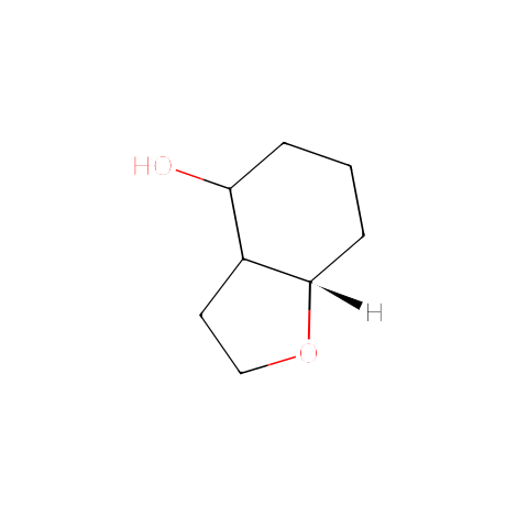 OC1CCC[C@@H]2OCCC12